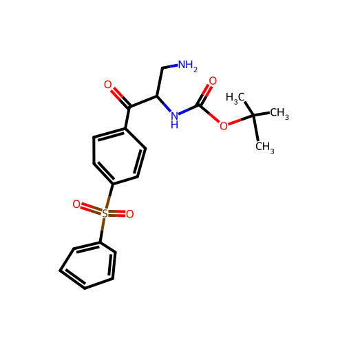 CC(C)(C)OC(=O)NC(CN)C(=O)c1ccc(S(=O)(=O)c2ccccc2)cc1